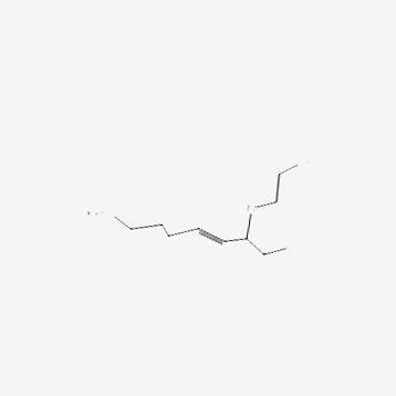 CCCCCCCCCC/C=C/C(CO)NCCO